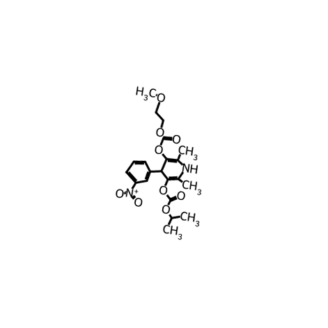 COCCOC(=O)OC1=C(C)NC(C)=C(OC(=O)OC(C)C)C1c1cccc([N+](=O)[O-])c1